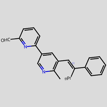 CCC/C(=C\c1cc(-c2cccc(C=O)n2)cnc1C)c1ccccc1